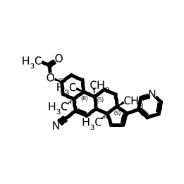 CC(=O)O[C@H]1CC[C@]2(C)[C@@]3(C)CC[C@]4(C)C(c5cccnc5)=CC[C@@]4(C)C3C=C(C#N)[C@@]2(C)C1